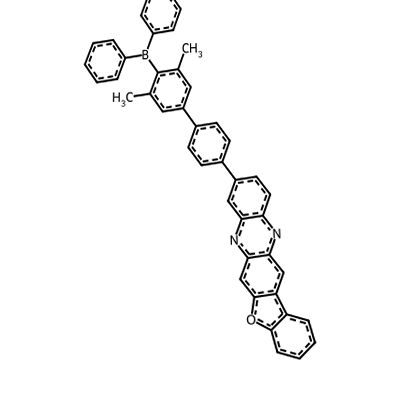 Cc1cc(-c2ccc(-c3ccc4nc5cc6c(cc5nc4c3)oc3ccccc36)cc2)cc(C)c1B(c1ccccc1)c1ccccc1